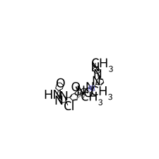 C/C(=N\C(=O)CN1C(=O)c2cc(-c3nc(NC4CCOCC4)ncc3Cl)ccc2[C@H]1C)c1cccc(N2CCN(C)CC2)n1